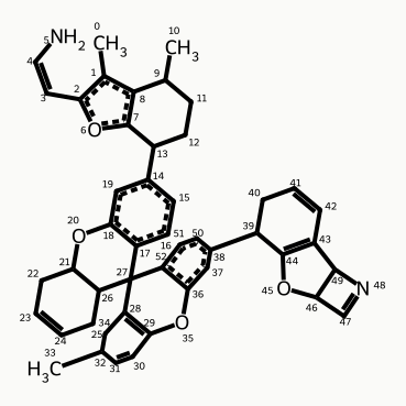 Cc1c(/C=C\N)oc2c1C(C)CCC2c1ccc2c(c1)OC1CC=CCC1C21C2=C(C=CC(C)C2)Oc2cc(C3CC=CC4=C3OC3C=NC43)ccc21